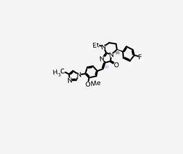 CCN1CC[C@@H](c2ccc(F)cc2)N2C(=O)/C(=C/c3ccc(-n4cnc(C)c4)c(OC)c3)N=C12